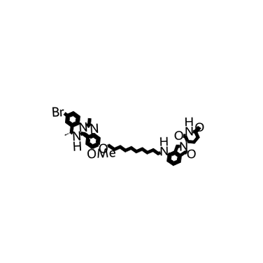 COc1cc2c(N[C@H](C)c3cccc(Br)c3)nc(C)nc2cc1OCCCCCCCCCCNc1cccc2c1CN(C1CCC(=O)NC1=O)C2=O